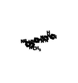 Cc1cc(Nc2ccc(-c3nc4ncc(Nc5ccncc5)cn4n3)cc2)c2cc(C#N)ccc2n1